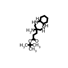 CC(C)(C)OC(=O)CCC1(N)CN[C@@H]2CCCC[C@H]2NC1